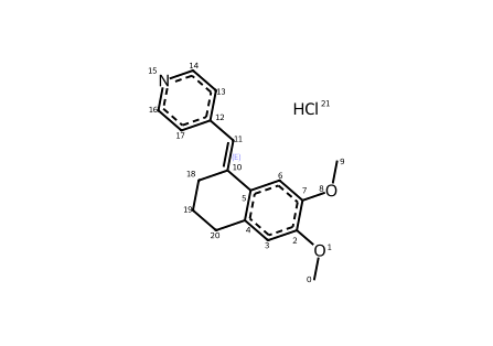 COc1cc2c(cc1OC)/C(=C/c1ccncc1)CCC2.Cl